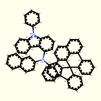 c1ccc(-c2ccc3cccc4c3c2C2(c3ccccc3-c3ccc(N(c5ccc6ccccc6c5)c5cccc6c5c5ccccc5n6-c5ccccc5)cc32)c2ccccc2-4)cc1